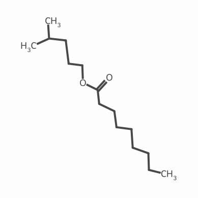 CCCCCCCCC(=O)OCCCC(C)C